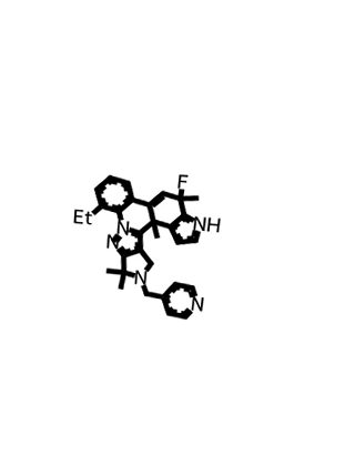 CCc1cccc2c1-n1nc3c(c1C1(C)C2=CC(C)(F)c2[nH]ccc21)CN(Cc1ccncc1)C3(C)C